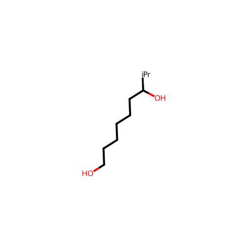 CC(C)C(O)CCCCCCO